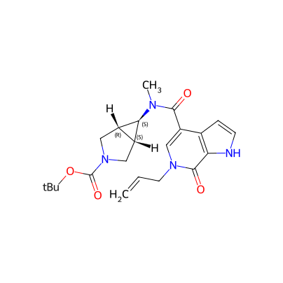 C=CCn1cc(C(=O)N(C)[C@H]2[C@@H]3CN(C(=O)OC(C)(C)C)C[C@@H]32)c2cc[nH]c2c1=O